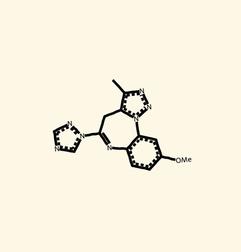 COc1ccc2c(c1)-n1nnc(C)c1CC(n1cncn1)=N2